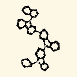 c1ccc(-n2c3ccccc3c3cc(-n4c5ccccc5c5ccc(-c6ccc7c8ccccc8n(-c8cccc9ccccc89)c7c6)cc54)ccc32)cc1